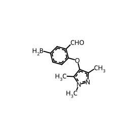 Bc1ccc(Oc2c(C)nn(C)c2C)c(C=O)c1